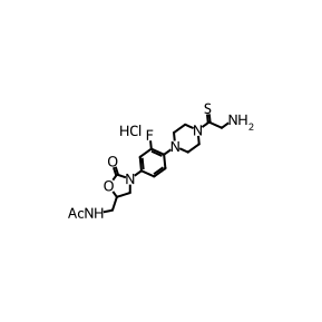 CC(=O)NCC1CN(c2ccc(N3CCN(C(=S)CN)CC3)c(F)c2)C(=O)O1.Cl